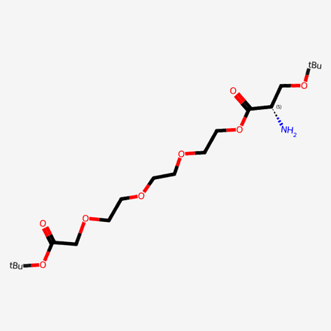 CC(C)(C)OC[C@H](N)C(=O)OCCOCCOCCOCC(=O)OC(C)(C)C